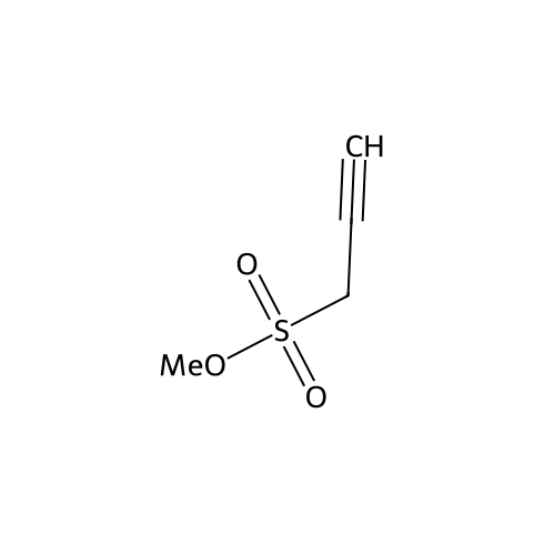 C#CCS(=O)(=O)OC